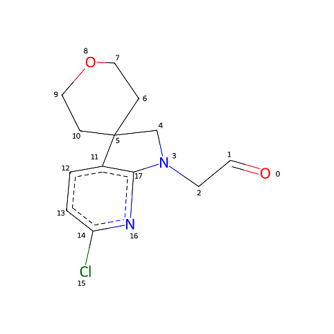 O=CCN1CC2(CCOCC2)c2ccc(Cl)nc21